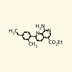 C=Cc1ccc(-c2ccc3c(C(=O)OCC)cnc(N)c3n2)c(C)c1